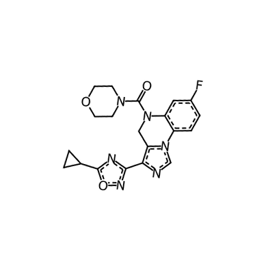 O=C(N1CCOCC1)N1Cc2c(-c3noc(C4CC4)n3)ncn2-c2ccc(F)cc21